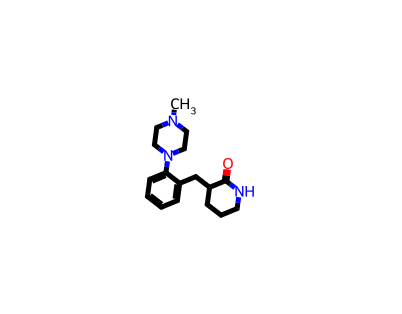 CN1CCN(c2ccccc2CC2CCCNC2=O)CC1